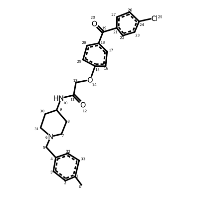 Cc1ccc(CN2CCC(NC(=O)COc3ccc(C(=O)c4ccc(Cl)cc4)cc3)CC2)cc1